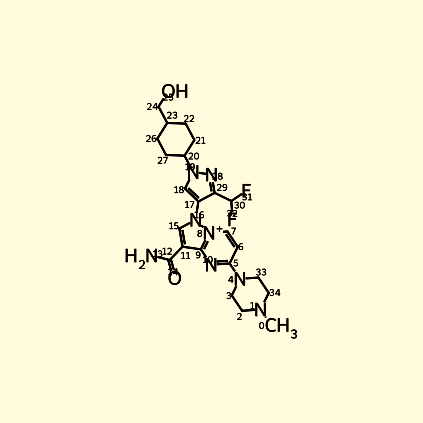 CN1CCN(c2cc[n+]3c(n2)c(C(N)=O)cn3-c2cn(C3CCC(CO)CC3)nc2C(F)F)CC1